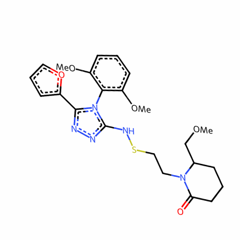 COCC1CCCC(=O)N1CCSNc1nnc(-c2ccco2)n1-c1c(OC)cccc1OC